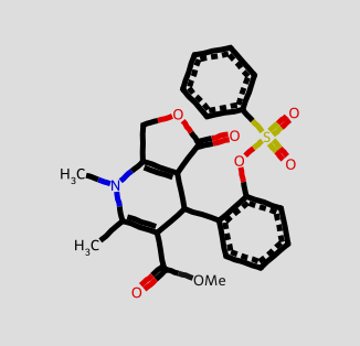 COC(=O)C1=C(C)N(C)C2=C(C(=O)OC2)C1c1ccccc1OS(=O)(=O)c1ccccc1